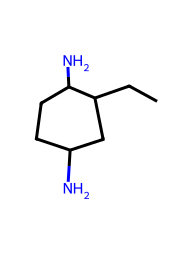 CCC1CC(N)CCC1N